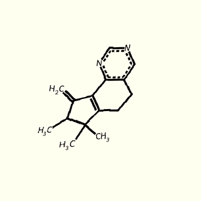 C=C1C2=C(CCc3cncnc32)C(C)(C)C1C